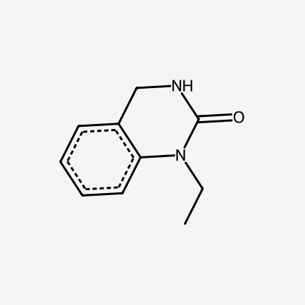 CCN1C(=O)NCc2ccccc21